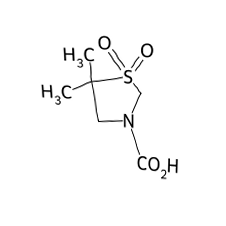 CC1(C)CN(C(=O)O)CS1(=O)=O